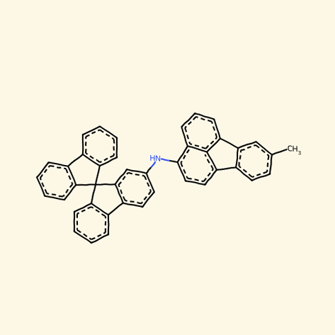 Cc1ccc2c(c1)-c1cccc3c(Nc4ccc5c(c4)C4(c6ccccc6-c6ccccc64)c4ccccc4-5)ccc-2c13